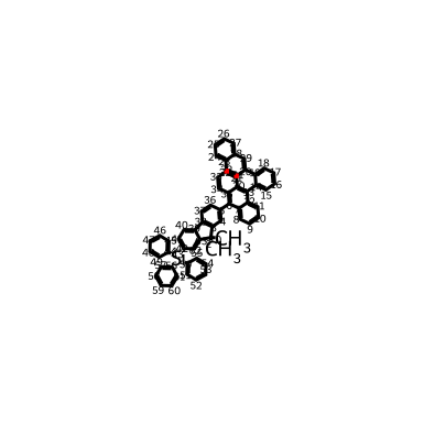 CC1(C)c2cc(-c3c4ccccc4c(-c4ccccc4-c4ccc5ccccc5c4)c4ccccc34)ccc2-c2ccc([Si](c3ccccc3)(c3ccccc3)c3ccccc3)cc21